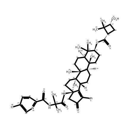 CC(C)C1=C2[C@H]3CC[C@@H]4[C@@]5(C)CC[C@H](OC(=O)[C@H]6C[C@@H](C(=O)O)C6(C)C)C(C)(C)[C@@H]5CC[C@@]4(C)[C@]3(C)CC[C@@]2(NC(=O)C(C)(C)NC(=O)c2ccc(Cl)cn2)CC1=O